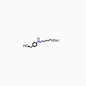 C#C[CH]c1ccc(NCCCCCCCCCCCCCCCC)cc1